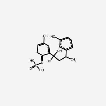 CC(CC(O)(O)C1=CC(O)=CCC1=NP(=O)(O)O)c1cccc(O)c1